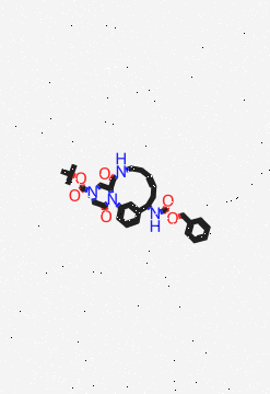 CC(C)(C)OC(=O)N1CC(=O)N2c3cccc(c3)C(NC(=O)OCc3ccccc3)CC=CCCNC(=O)C2C1